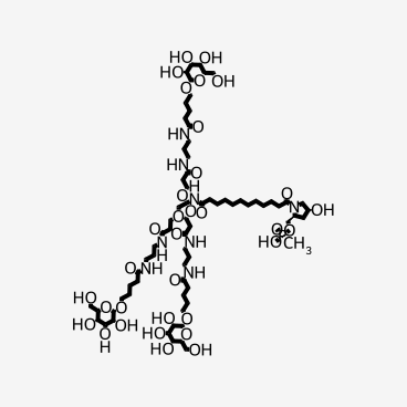 CP(=O)(O)OC[C@@H]1C[C@@H](O)CN1C(=O)CCCCCCCCCCC(=O)NC(COCCC(=O)NCCCNC(=O)CCCCO[C@@H]1OC(CO)[C@H](O)C(O)[C@@H]1O)(OCCC(=O)NCCCNC(=O)CCCCO[C@@H]1OC(CO)[C@H](O)C(O)[C@@H]1O)OCCC(=O)NCCCNC(=O)CCCCO[C@@H]1OC(CO)[C@H](O)C(O)[C@@H]1O